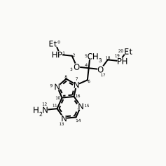 CCPCOC(C)(Cn1cnc2c(N)ncnc21)OCPCC